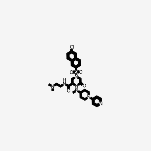 CN(C)CCNC(=O)C1CN(S(=O)(=O)c2ccc3cc(Cl)ccc3c2)CC(=O)N1N(C)C1CCN(c2ccncc2)CC1